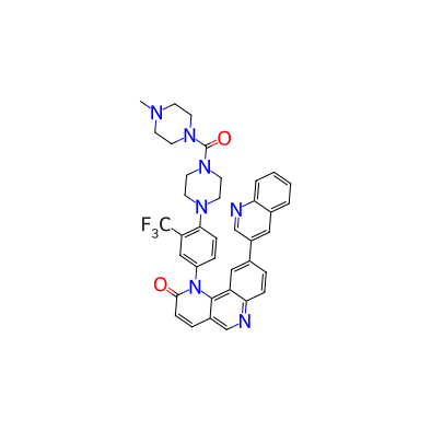 CN1CCN(C(=O)N2CCN(c3ccc(-n4c(=O)ccc5cnc6ccc(-c7cnc8ccccc8c7)cc6c54)cc3C(F)(F)F)CC2)CC1